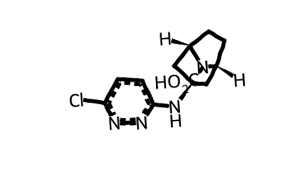 O=C(O)N1[C@@H]2CC[C@H]1C[C@H](Nc1ccc(Cl)nn1)C2